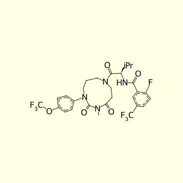 CC(C)[C@@H](NC(=O)c1cc(C(F)(F)F)ccc1F)C(=O)N1CCCN(c2ccc(OC(F)(F)F)cc2)C(=O)N(C)C(=O)CC1